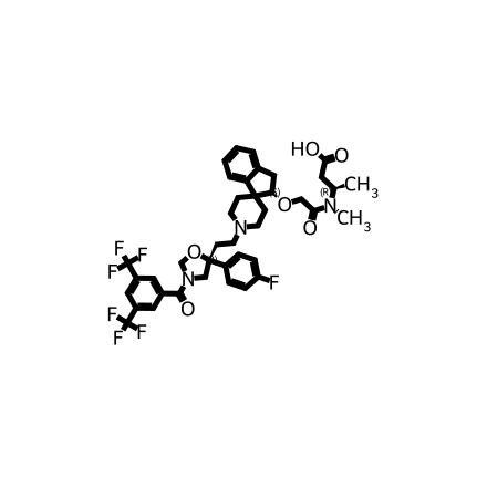 C[C@H](CC(=O)O)N(C)C(=O)CO[C@H]1Cc2ccccc2C12CCN(CC[C@@]1(c3ccc(F)cc3)CN(C(=O)c3cc(C(F)(F)F)cc(C(F)(F)F)c3)CO1)CC2